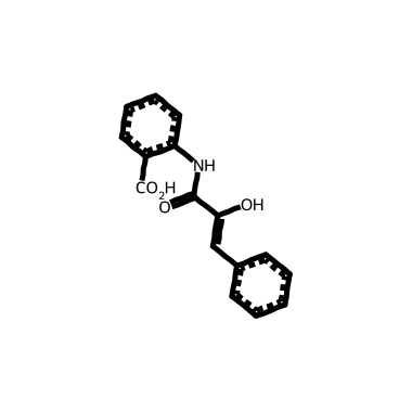 O=C(Nc1ccccc1C(=O)O)C(O)=Cc1ccccc1